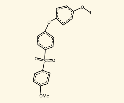 COc1ccc(S(=O)(=O)c2ccc(Oc3ccc(OI)cc3)cc2)cc1